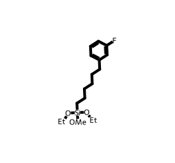 CCO[Si](CCCCCCc1cccc(F)c1)(OC)OCC